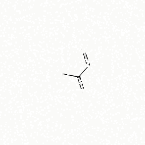 C=C([SiH3])[C]=O